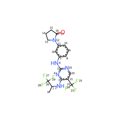 CC(Nc1nc(Nc2cccc(N3CCCC3=O)c2)ncc1C(F)(F)F)C(F)(F)F